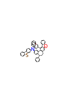 c1ccc(C2CCc3cc4oc5ccccc5c4c(-c4ccc5ccccc5c4)c3-c3cc(N(c4ccccc4)c4ccc5c(c4)sc4ccccc45)ccc32)cc1